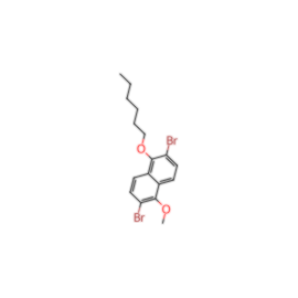 CCCCCCOc1c(Br)ccc2c(OC)c(Br)ccc12